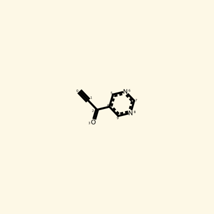 C#CC(=O)c1cncnc1